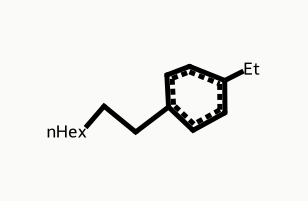 [CH2]CCCCCCCc1ccc(CC)cc1